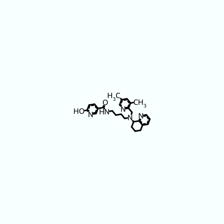 Cc1cnc(CN(CCCCNC(=O)c2ccc(O)nc2)C2CCCc3cccnc32)c(C)c1